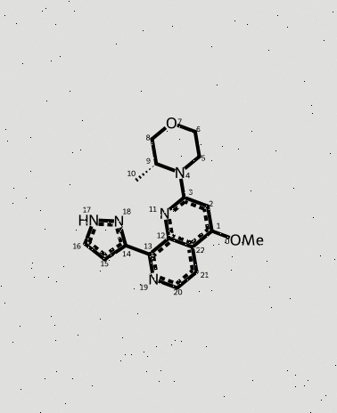 COc1cc(N2CCOC[C@H]2C)nc2c(-c3cc[nH]n3)nccc12